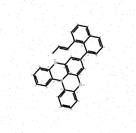 C/C=C/c1cccc2cccc(-c3cc4c5c(c3)Oc3ccccc3B5c3ccccc3O4)c12